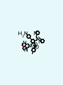 Cc1ccc(S(=O)(=O)Oc2c(CN(Cc3ccccn3)Cc3ccccn3)cc(-c3ccc(N)cc3)cc2CN(Cc2ccccn2)Cc2ccccn2)cc1